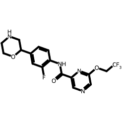 O=C(Nc1ccc(C2CNCCO2)cc1F)c1cncc(OCC(F)(F)F)n1